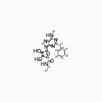 CCNC(=O)[C@H]1O[C@@H](n2cnc3c(NC)nc(Cc4ccccc4)nc32)[C@H](O)[C@@H]1O